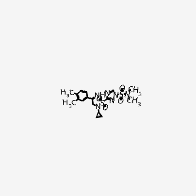 Cc1ccc(C(=N)CN(C2CC2)S(=O)(=O)c2ncn(S(=O)(=O)N(C)C)n2)cc1C